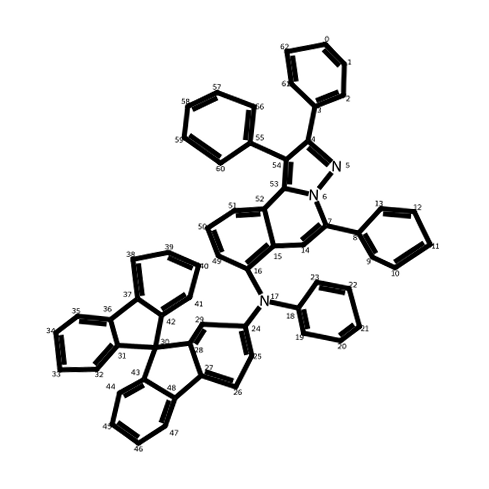 c1ccc(-c2nn3c(-c4ccccc4)cc4c(N(c5ccccc5)c5ccc6c(c5)C5(c7ccccc7-c7ccccc75)c5ccccc5-6)cccc4c3c2-c2ccccc2)cc1